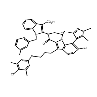 Cc1ccnc(Cn2c(N3C[C@@H](C)n4c(c(CCCOc5cc(C)c(Cl)c(C)c5)c5ccc(Cl)c(-c6c(C)nn(C)c6C)c54)C3=O)c(C(=O)O)c3ccccc32)c1